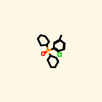 Cc1ccc(Cl)c(P(=O)(C2CCCCC2)C2CCCCC2)c1